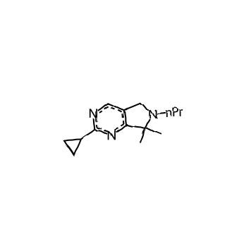 CCCN1Cc2cnc(C3CC3)nc2C1(C)C